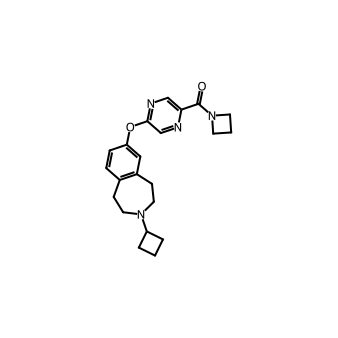 O=C(c1cnc(Oc2ccc3c(c2)CCN(C2CCC2)CC3)cn1)N1CCC1